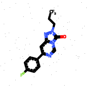 O=c1n(CCC(F)(F)F)nc2cc(-c3ccc(F)cc3)ncn12